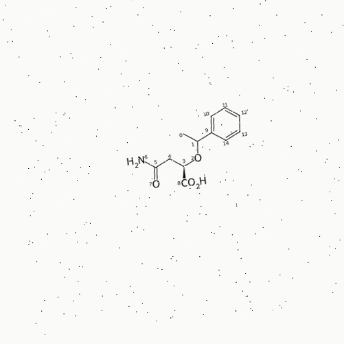 CC(O[C@H](CC(N)=O)C(=O)O)c1ccccc1